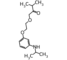 CC(C)Nc1cccc(OCCOCC(=O)C(C)C)c1